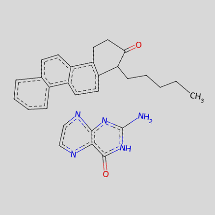 CCCCCC1C(=O)CCc2c1ccc1c2ccc2ccccc21.Nc1nc2nccnc2c(=O)[nH]1